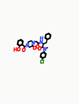 CN(C(=O)C(Cc1ccccc1)NC(=O)CN1CCN(C(=O)c2ccccc2O)CC1=O)c1ccc(Cl)cc1